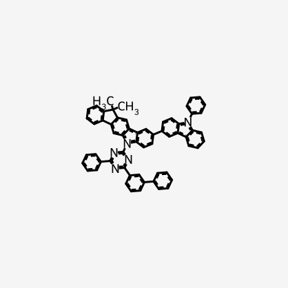 CC1(C)c2ccccc2-c2cc3c(cc21)c1cc(-c2ccc4c(c2)c2ccccc2n4-c2ccccc2)ccc1n3-c1nc(-c2ccccc2)nc(-c2cccc(-c3ccccc3)c2)n1